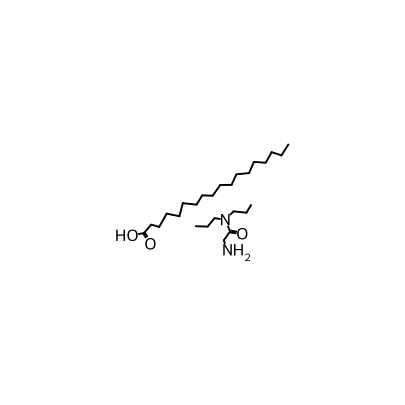 CCCCCCCCCCCCCCCCCC(=O)O.CCCN(CCC)C(=O)CN